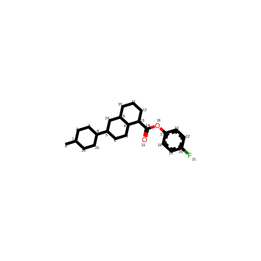 CC1CCC(C2CCC3C(CCCC3C(=O)Oc3ccc(F)cc3)C2)CC1